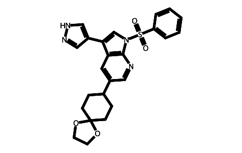 O=S(=O)(c1ccccc1)n1cc(-c2cn[nH]c2)c2cc(C3CCC4(CC3)OCCO4)cnc21